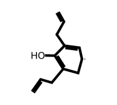 C=CCC1=C[CH]CC(CC=C)=C1O